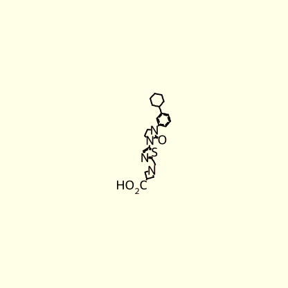 O=C(O)C1CN(Cc2ncc(N3CCN(c4cccc(C5CCCCC5)c4)C3=O)s2)C1